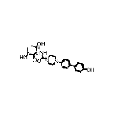 C[C@@H](O)[C@H](NC(=O)N1CCN(c2ccc(-c3ccc(O)cc3)cc2)CC1)C(=O)NO